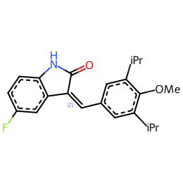 COc1c(C(C)C)cc(/C=C2\C(=O)Nc3ccc(F)cc32)cc1C(C)C